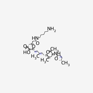 C[CH]/C=C\C(=O)N[C@@H]1C[C@H](C)[C@H](C/C=C(C)/C=C/[C@H]2O[C@H](CC(=O)NCCCCCN)C[C@@]3(CO3)[C@@H]2O)O[C@@H]1C